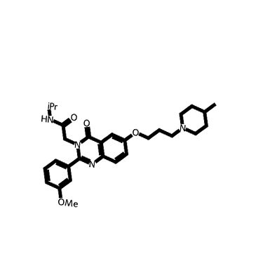 COc1cccc(-c2nc3ccc(OCCCN4CCC(C)CC4)cc3c(=O)n2CC(=O)NC(C)C)c1